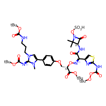 Cn1c(-c2ccc(OC[C@H](O/N=C(\C(=O)N[C@@H]3C(=O)N(OS(=O)(=O)O)C3(C)C)c3csc(NC(=O)OOC(C)(C)C)n3)C(=O)OC(C)(C)C)cc2)cn(CCCNC(=O)OC(C)(C)C)/c1=N\C(=O)OC(C)(C)C